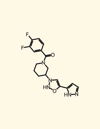 O=C(c1ccc(F)c(F)c1)N1CCCC(N2C=C(c3ccn[nH]3)ON2)C1